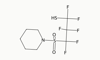 O=S(=O)(N1CCCCC1)C(F)(F)C(F)(F)C(F)(F)S